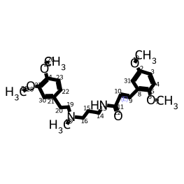 COc1ccc(OC)c(/C=C/C(=O)NCCCN(C)CCc2ccc(OC)c(OC)c2)c1